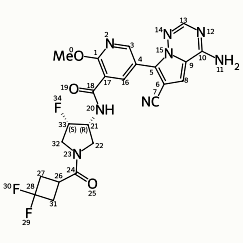 COc1ncc(-c2c(C#N)cc3c(N)ncnn23)cc1C(=O)N[C@@H]1CN(C(=O)C2CC(F)(F)C2)C[C@@H]1F